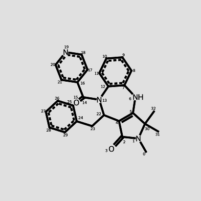 CN1C(=O)C2=C(Nc3ccccc3N(C(=O)c3ccncc3)C2Cc2ccccc2)C1(C)C